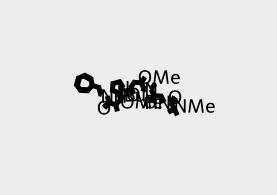 CCC(C)C(C(CC(=O)N1CCCC1C(OC)C(C)C(=O)NCCC1C=CC=CC=C1)OC)N(C)C(=O)CNC(=O)C(C)(C)NC